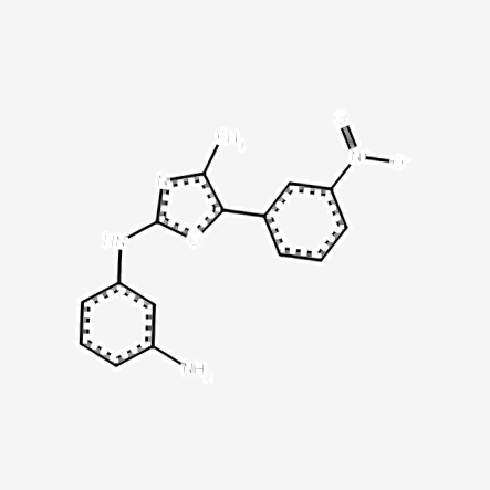 Cc1nc(Nc2cccc(N)c2)oc1-c1cccc([N+](=O)[O-])c1